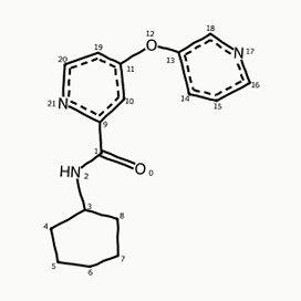 O=C(NC1CCCCC1)c1cc(Oc2cccnc2)ccn1